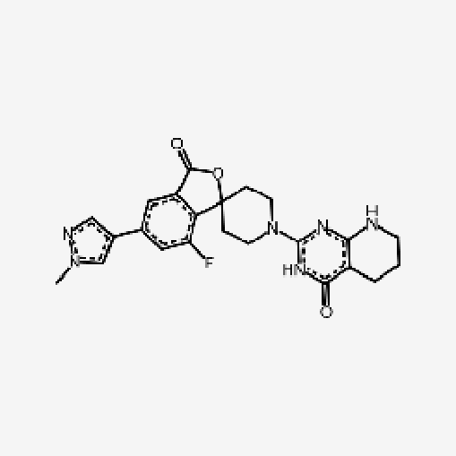 Cn1cc(-c2cc(F)c3c(c2)C(=O)OC32CCN(c3nc4c(c(=O)[nH]3)CCCN4)CC2)cn1